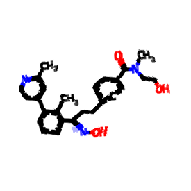 Cc1cc(-c2cccc(/C(CCc3ccc(C(=O)N(C)CCO)cc3)=N/O)c2C)ccn1